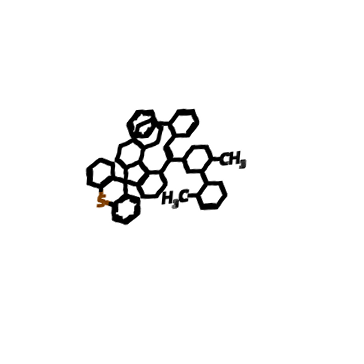 CC1C=CCCC1C1CC(/C(=C\C2C=CC=CC2c2ccccc2)C2CCCC3=C2C2C4CCCCC4CCC2C32C3=C(C=CCC3)Sc3ccccc32)CCC1C